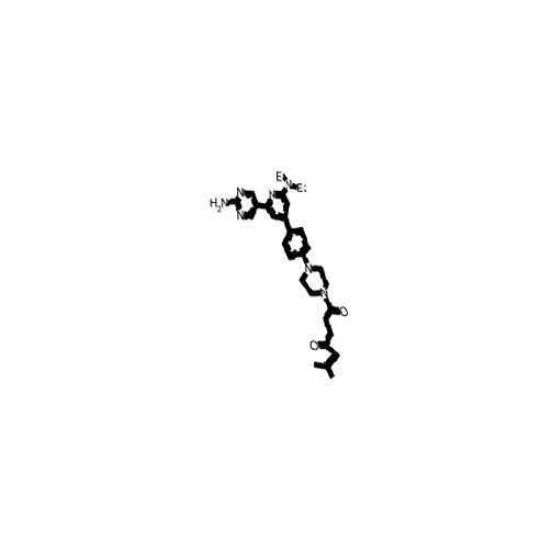 CCN(CC)c1cc(-c2ccc(N3CCN(C(=O)CCC(=O)C=C(C)C)CC3)cc2)cc(-c2cnc(N)nc2)n1